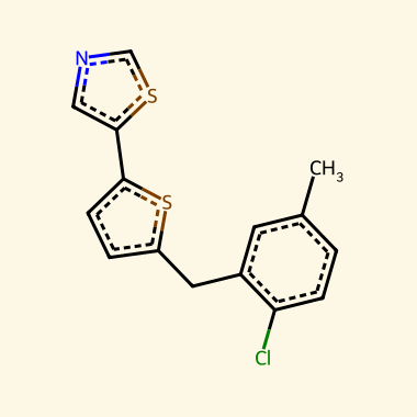 Cc1ccc(Cl)c(Cc2ccc(-c3cncs3)s2)c1